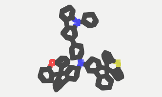 c1ccc(-n2c3ccccc3c3ccc(-c4ccc(N(c5ccc6c(c5)-c5ccccc5C65c6ccccc6Sc6ccccc65)c5ccc6c(c5)C5(c7ccccc7Oc7ccccc75)c5ccccc5-6)cc4)cc32)cc1